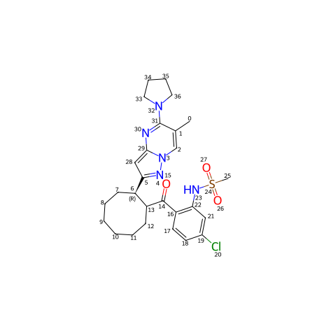 Cc1cn2nc([C@@H]3CCCCCCC3C(=O)c3ccc(Cl)cc3NS(C)(=O)=O)cc2nc1N1CCCC1